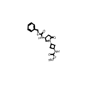 CC(C)(C)OC(=O)N[C@H]1C[C@H](N2C[C@@H](NC(=O)OCc3ccccc3)CC2=O)C1